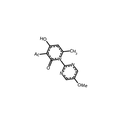 COc1cnc(-n2c(C)cc(O)c(C(C)=O)c2=O)nc1